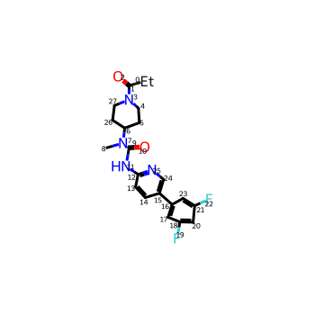 CCC(=O)N1CCC(N(C)C(=O)Nc2ccc(-c3cc(F)cc(F)c3)cn2)CC1